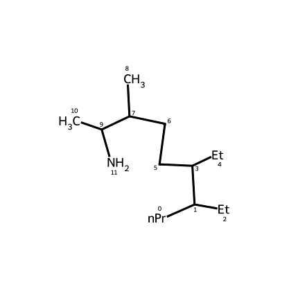 CCCC(CC)C(CC)CCC(C)C(C)N